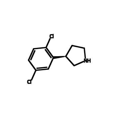 Clc1ccc(Cl)c([C@H]2CCNC2)c1